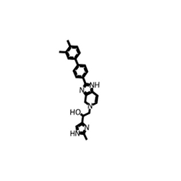 Cc1nc(C(O)CN2C=Cc3[nH]c(-c4ccc(-c5ccc(C)c(C)c5)cc4)nc3C2)c[nH]1